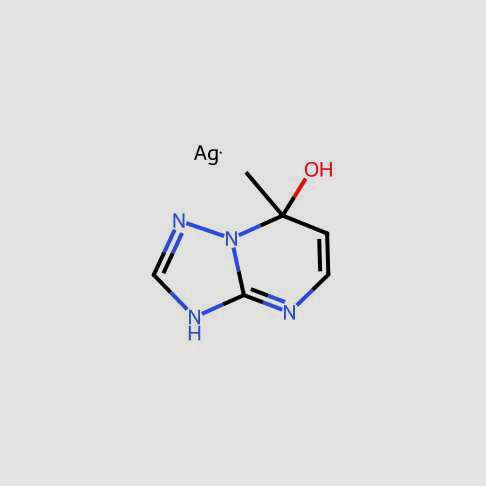 CC1(O)C=CN=C2NC=NN21.[Ag]